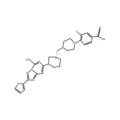 Nc1nc(N2CCC[C@@H](CN3CCN(c4ccc(C(=O)O)cc4F)CC3)C2)nc2nc(-c3ccco3)nn12